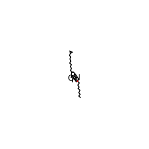 CCCCCCCCCc1cnc(C2=CC=C(CCCCCCCCCC3CC3)CC2=O)nc1